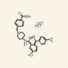 COc1ccc(-c2nnc(NC3CCN(Cc4ccc(C([NH])=O)cc4)CC3)c3cc(OC)ccc23)cc1.Cl.Cl